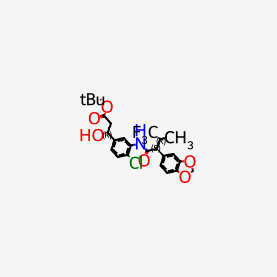 C[C@H]([C@H](C(=O)Nc1cc([C@H](O)CC(=O)OC(C)(C)C)ccc1Cl)c1ccc2c(c1)OCO2)C(F)(F)F